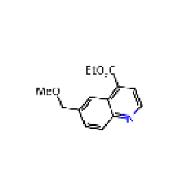 CCOC(=O)c1ccnc2ccc(COC)cc12